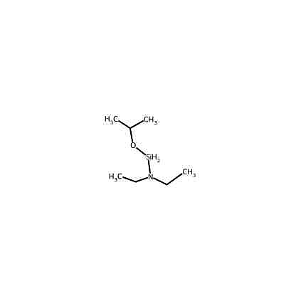 CCN(CC)[SiH2]OC(C)C